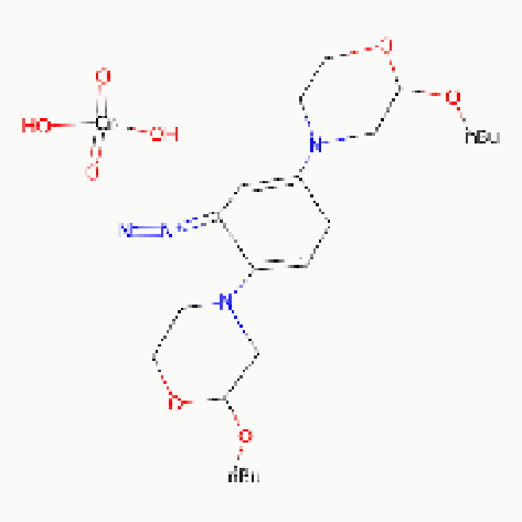 CCCCOC1CN(C2=CC(=[N+]=[N-])C(N3CCOC(OCCCC)C3)=CC2)CCO1.[O]=[Cr](=[O])([OH])[OH]